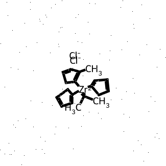 CC1=[C]([Zr+2]([C]2=CC=CC2)([C]2=CC=CC2)=[C](C)C)CC=C1.[Cl-].[Cl-]